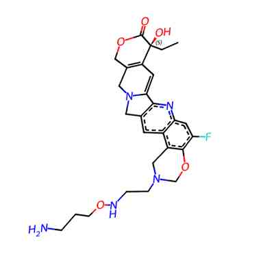 CC[C@@]1(O)C(=O)OCC2=C1C=C1c3nc4cc(F)c5c(c4cc3CN1C2)CN(CCNOCCCN)CO5